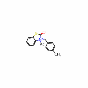 CC(=O)[N+]1(Cc2ccc(C)cc2)C(=O)Sc2ccccc21